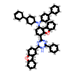 C1=CCC(C2=CCC(N(c3ccc(-c4ccccc4)cc3)c3ccc(C4=NC(c5ccc6oc7ccccc7c6c5)NC(c5ccccc5)=N4)c4oc5ccccc5c34)C=C2)C=C1